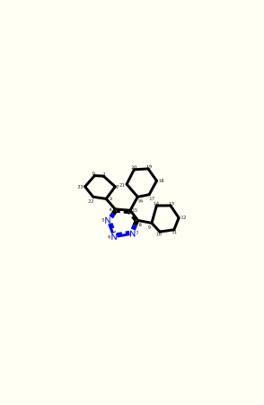 C1CCC(c2nnnc(C3CCCCC3)c2C2CCCCC2)CC1